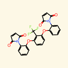 O=C1C=CC(=O)N1c1ccccc1Oc1cccc(Oc2ccccc2N2C(=O)C=CC2=O)c1C(F)(F)F